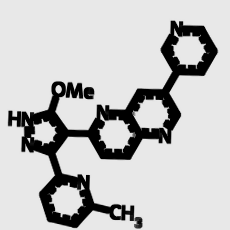 COc1[nH]nc(-c2cccc(C)n2)c1-c1ccc2ncc(-c3cccnc3)cc2n1